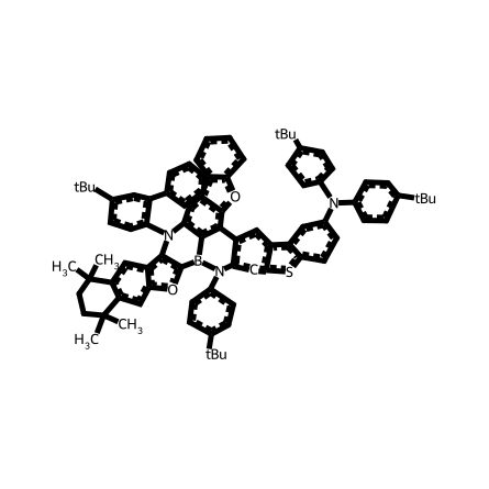 CC(C)(C)c1ccc(N2B3c4oc5cc6c(cc5c4N(c4ccc(C(C)(C)C)cc4-c4ccccc4)c4cc5c(oc7ccccc75)c(c43)-c3cc4c(cc32)sc2ccc(N(c3ccc(C(C)(C)C)cc3)c3ccc(C(C)(C)C)cc3)cc24)C(C)(C)CCC6(C)C)cc1